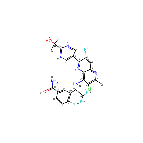 Cc1nc2cc(F)c(-c3cnc(C(C)(C)O)nc3)nc2c(N[C@@H](c2cc(C(N)=O)ccc2F)C(F)F)c1Cl